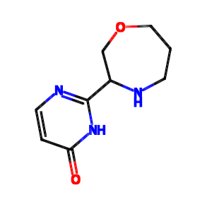 O=c1ccnc(C2COCCCN2)[nH]1